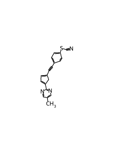 Cc1cnc(C2=CC=C(C#Cc3ccc(SC#N)cc3)C2)nc1